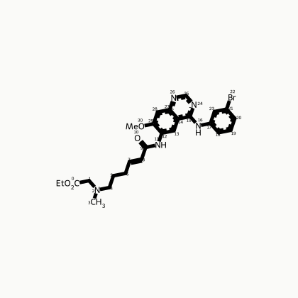 CCOC(=O)CN(C)CCCC=CC(=O)Nc1cc2c(Nc3cccc(Br)c3)ncnc2cc1OC